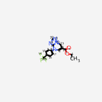 CCOC(=O)C1=CN(c2ccc(C(F)(F)F)cc2)c2ncnn2C1